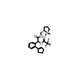 C[N+]1(C)CCC[C@@H]1COC(=O)C(OC(=O)C(F)(F)F)c1ccccc1C1=CCCC1